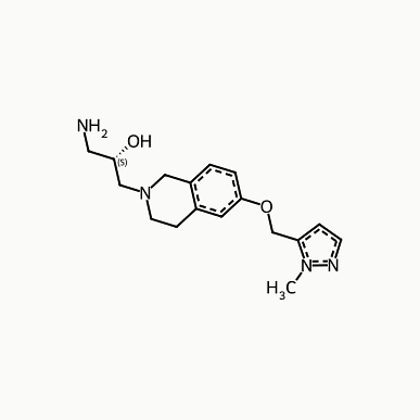 Cn1nccc1COc1ccc2c(c1)CCN(C[C@@H](O)CN)C2